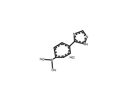 Cl.OB(O)c1ccc(-c2ncn[nH]2)cc1